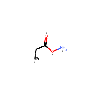 CCCCC(=O)ON